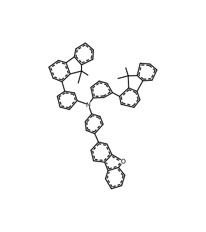 CC1(C)c2ccccc2-c2cccc(-c3cccc(N(c4ccc(-c5ccc6c(c5)oc5ccccc56)cc4)c4cccc(-c5cccc6c5C(C)(C)c5ccccc5-6)c4)c3)c21